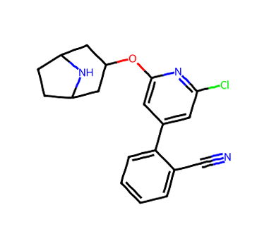 N#Cc1ccccc1-c1cc(Cl)nc(OC2CC3CCC(C2)N3)c1